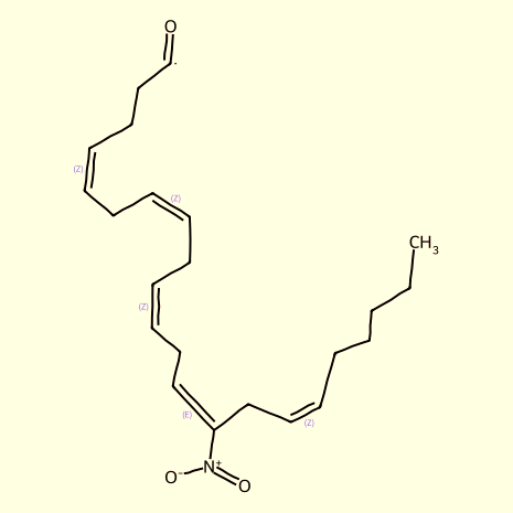 CCCCC/C=C\C/C(=C\C/C=C\C/C=C\C/C=C\CC[C]=O)[N+](=O)[O-]